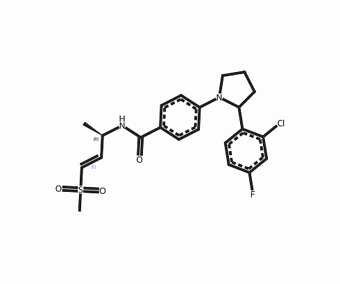 C[C@H](/C=C/S(C)(=O)=O)NC(=O)c1ccc(N2CCCC2c2ccc(F)cc2Cl)cc1